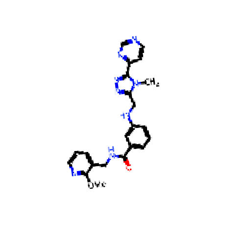 COc1ncccc1CNC(=O)c1cccc(NCc2nnc(-c3ccncn3)n2C)c1